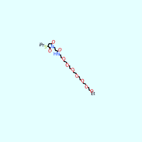 CCOCCOCCOCCOCCOCCOCCOCCNC(=O)CCN1C(=O)CC(SC(C)C)C1=O